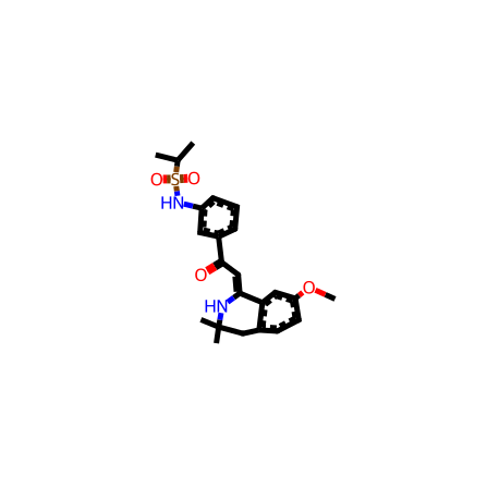 COc1ccc2c(c1)C(=CC(=O)c1cccc(NS(=O)(=O)C(C)C)c1)NC(C)(C)C2